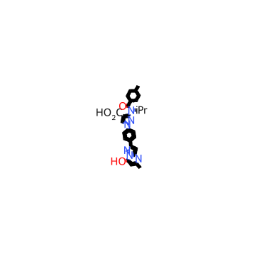 Cc1cc(O)n2nc(-c3ccc(-n4cc(C(=O)O)c(N(C(=O)C5CCC(C)CC5)C(C)C)n4)cc3)cc2n1